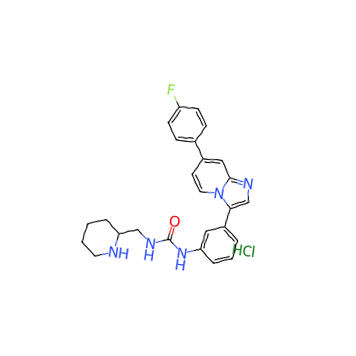 Cl.O=C(NCC1CCCCN1)Nc1cccc(-c2cnc3cc(-c4ccc(F)cc4)ccn23)c1